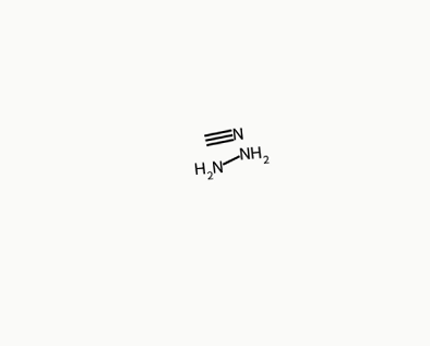 C#N.NN